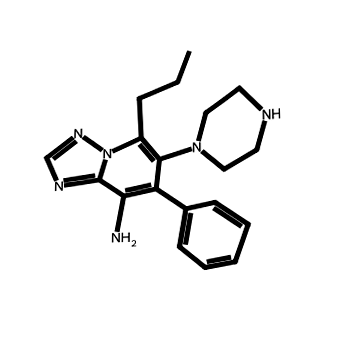 CCCc1c(N2CCNCC2)c(-c2ccccc2)c(N)c2ncnn12